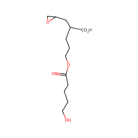 O=C(CCCCO)OCCCC(CC1CO1)C(=O)O